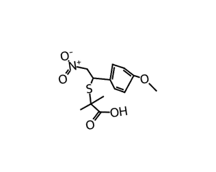 COc1ccc(C(C[N+](=O)[O-])SC(C)(C)C(=O)O)cc1